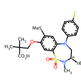 CCCC[C@@H]1CN(c2ccc(F)cc2)c2cc(SC)c(OCC(C)(C)C(=O)O)cc2S(=O)(=O)N1C